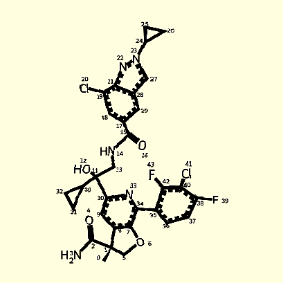 C[C@]1(C(N)=O)COc2c1cc(C(O)(CNC(=O)c1cc(Cl)c3nn(C4CC4)cc3c1)C1CC1)nc2-c1ccc(F)c(Cl)c1F